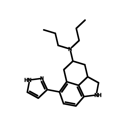 CCCN(CCC)C1Cc2c(-c3cc[nH]n3)ccc3c2C(CN3)C1